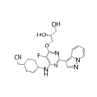 N#CCC1CCC(Nc2nc(-c3cnn4ccccc34)nc(OC[C@@H](O)CO)c2F)CC1